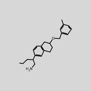 CCCC(CN)c1ccc2c(c1)CCC(OCc1cccc(C)c1)C2